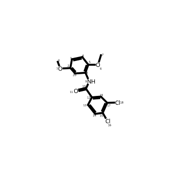 COc1ccc(OC)c(NC(=O)c2ccc(Cl)c(Cl)c2)c1